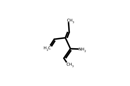 C=CC(=C\C)/C(N)=C/C